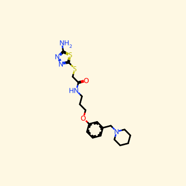 Nc1nnc(SCC(=O)NCCCOc2cccc(CN3CCCCC3)c2)s1